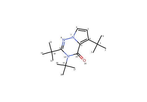 CC(C)(C)c1ccn2nc(C(C)(C)C)n(C(C)(C)C)c(=O)c12